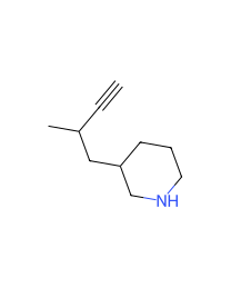 C#CC(C)CC1CCCNC1